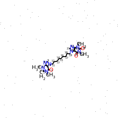 C=C1N(C)C(=O)c2c(ncn2CCCCCCCCCn2cnc3c2c(=O)n(C)c(=O)n3C)N1C